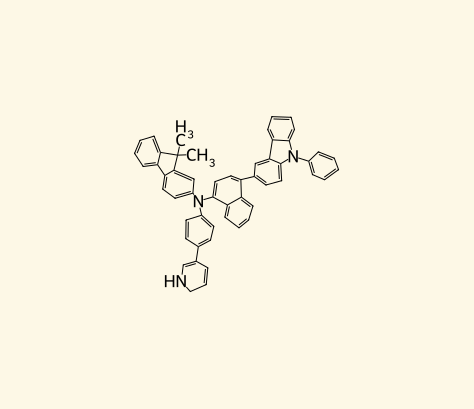 CC1(C)c2ccccc2-c2ccc(N(c3ccc(C4=CNCC=C4)cc3)c3ccc(-c4ccc5c(c4)c4ccccc4n5-c4ccccc4)c4ccccc34)cc21